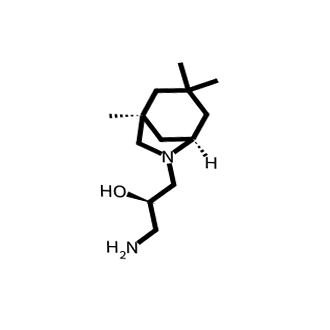 CC1(C)C[C@@H]2C[C@@](C)(CN2C[C@H](O)CN)C1